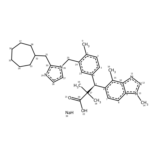 Cc1ccc([C@@H](c2ccc3c(nnn3C)c2C)C(C)(C)C(=O)O)cc1Cn1ccnc1CC1CCCCCC1.[NaH]